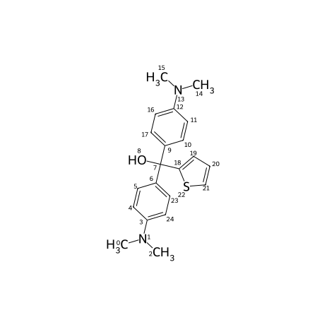 CN(C)c1ccc(C(O)(c2ccc(N(C)C)cc2)c2cccs2)cc1